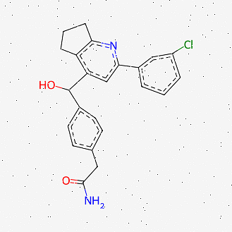 NC(=O)Cc1ccc(C(O)c2cc(-c3cccc(Cl)c3)nc3c2CCC3)cc1